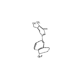 Cc1cc(-c2ccc3c(c2)CCC3O)cc(CO)c1O